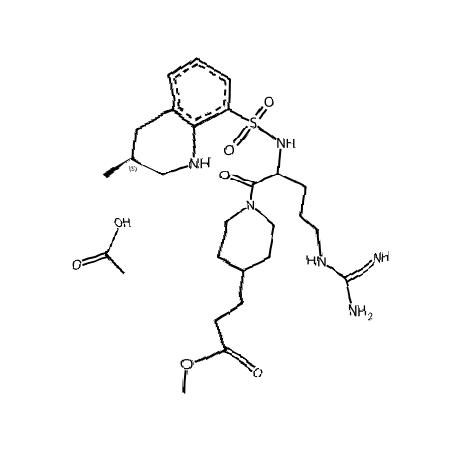 CC(=O)O.COC(=O)CCC1CCN(C(=O)C(CCCNC(=N)N)NS(=O)(=O)c2cccc3c2NC[C@@H](C)C3)CC1